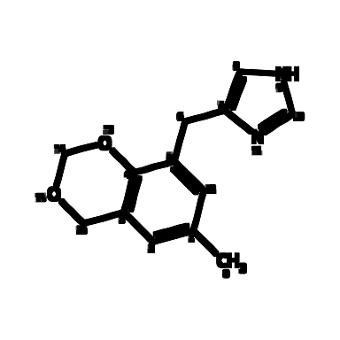 Cc1cc2c(c(Cc3c[nH]cn3)c1)OCOC2